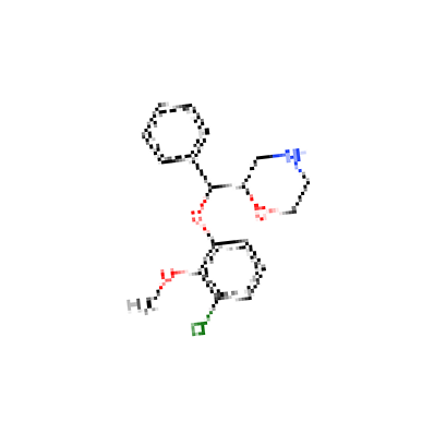 COc1c(Cl)cccc1OC(c1ccccc1)C1CNCCO1